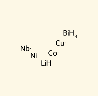 [BiH3].[Co].[Cu].[LiH].[Nb].[Ni]